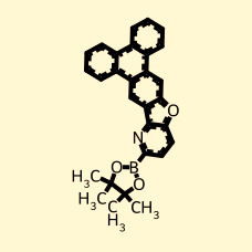 CC1(C)OB(c2ccc3oc4cc5c6ccccc6c6ccccc6c5cc4c3n2)OC1(C)C